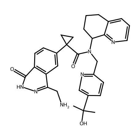 CC(C)(O)c1ccc(CN(C(=O)C2(c3ccc4c(=O)[nH]nc(CN)c4c3)CC2)C2CCCc3cccnc32)nc1